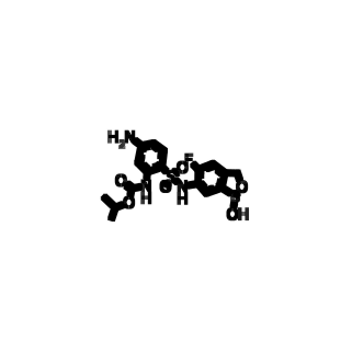 CC(C)OC(=O)Nc1cc(N)ccc1S(=O)(=O)Nc1cc2c(cc1F)COB2O